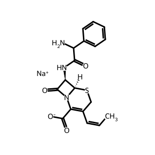 C/C=C\C1=C(C(=O)[O-])N2C(=O)[C@@H](NC(=O)C(N)c3ccccc3)[C@H]2SC1.[Na+]